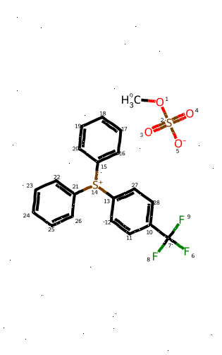 COS(=O)(=O)[O-].FC(F)(F)c1ccc([S+](c2ccccc2)c2ccccc2)cc1